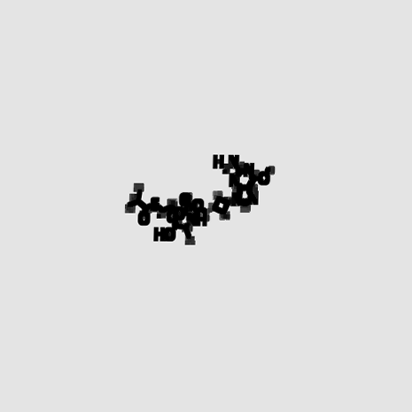 COc1nc(N)nc2c1ncn2[C@H]1C[C@@H](COP(=O)(NC(C)C(=O)O)OCCSC(=O)C(C)C)C1